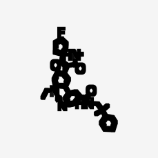 CCN(C#N)c1cc2oc(-c3ccc(F)cc3)c(C(=O)NC)c2cc1-c1cccc(C(=O)NCC(C)(C)c2ccccc2)c1